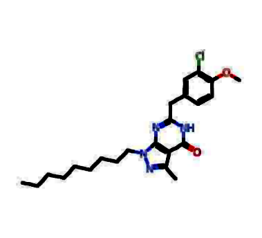 CCCCCCCCCn1nc(C)c2c(=O)[nH]c(Cc3ccc(OC)c(Cl)c3)nc21